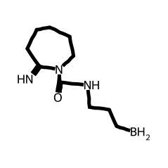 BCCCNC(=O)N1CCCCCC1=N